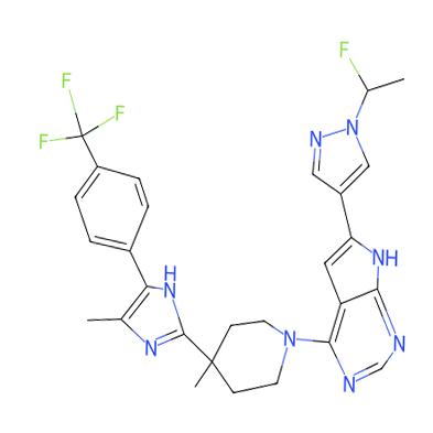 Cc1nc(C2(C)CCN(c3ncnc4[nH]c(-c5cnn(C(C)F)c5)cc34)CC2)[nH]c1-c1ccc(C(F)(F)F)cc1